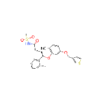 Cc1ccccc1[C@@H](CCC(=O)NS(C)(=O)=O)Oc1cc(OCc2ccsc2)ccc1C#N